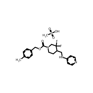 CS(=O)(=O)O.Cc1ccc(COC(=O)N2CCC(CNc3ccncc3)C(F)(F)C2)cc1